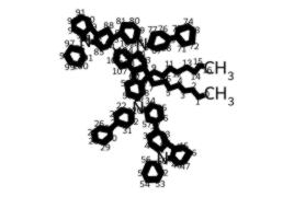 CCCCCCCCC1(CCCCCCCC)c2cc(N(c3ccc(-c4ccccc4)cc3)c3cccc(-c4ccc5c(c4)c4ccccc4n5-c4ccccc4)c3)ccc2-c2c1cc(N(c1ccc(-c3ccccc3)cc1)c1cccc(-c3ccc4c(c3)c3ccccc3n4-c3ccccc3)c1)c1ccccc21